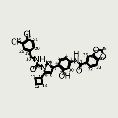 O=C(Nc1ccc(-c2cc(C3CCC3)n(C(=O)NCc3ccc(Cl)c(Cl)c3)n2)c(O)c1)c1ccc2c(c1)OCO2